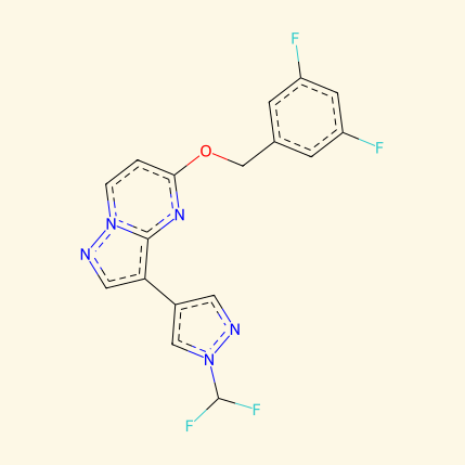 Fc1cc(F)cc(COc2ccn3ncc(-c4cnn(C(F)F)c4)c3n2)c1